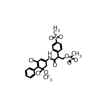 CS(=O)(=O)OCC(C(=O)NC1=CC(Cl)=C(c2ccccc2)C(Cl)(OC(F)(F)F)C1)c1ccc(S(C)(=O)=O)cc1